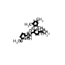 COc1cccc(S(=O)(=O)NC(=O)c2ccc(C(C)(C)C)nc2Oc2c(C)cc(C)cc2C)n1